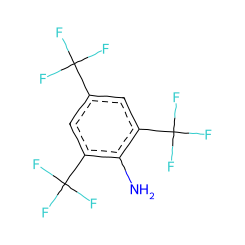 Nc1c(C(F)(F)F)cc(C(F)(F)F)cc1C(F)(F)F